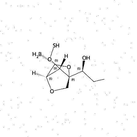 B[C@@H]1O[C@@]2([C@@H](O)CC)CO[C@@H]1[C@@H]2OS